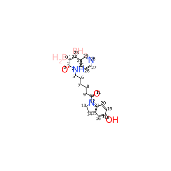 BC(C(=O)NCCCCCC(=O)N1CCc2cc(O)ccc21)C(B)c1cccnc1